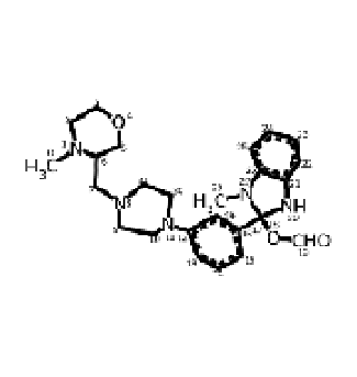 CN1CCOCC1CN1CCN(c2cccc(C3(OC=O)Nc4ccccc4N3C)c2)CC1